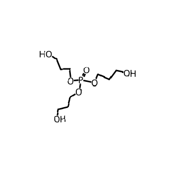 O=P(OCCCO)(OCCCO)OCCCO